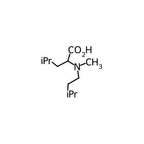 CC(C)CCN(C)C(CC(C)C)C(=O)O